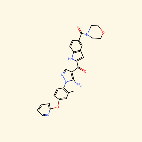 Cc1cc(Oc2ccccn2)ccc1-n1ncc(C(=O)c2cc3cc(C(=O)N4CCOCC4)ccc3[nH]2)c1N